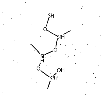 C[SiH](O)O[SiH](C)O[SiH](C)OS